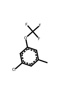 Cc1cc(Cl)[c]c(OC(F)(F)F)c1